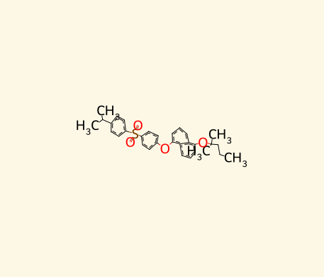 CCCC(C)(C)Oc1cccc2c(Oc3ccc(S(=O)(=O)c4ccc(C(C)C)cc4)cc3)cccc12